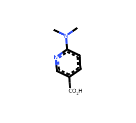 CN(C)c1ccc(C(=O)O)cn1